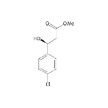 COC(=O)C[C@H](O)c1ccc(Cl)cc1